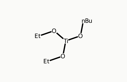 CCCC[O][Ti]([O]CC)[O]CC